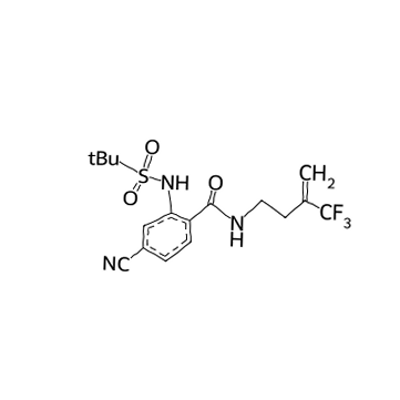 C=C(CCNC(=O)c1ccc(C#N)cc1NS(=O)(=O)C(C)(C)C)C(F)(F)F